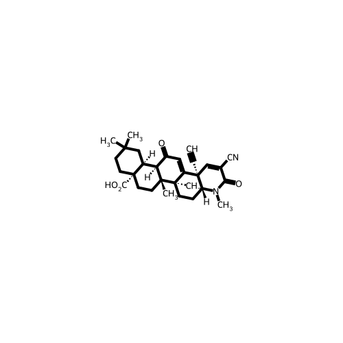 C#C[C@]12C=C(C#N)C(=O)N(C)[C@@H]1CC[C@]1(C)C2=CC(=O)[C@@H]2[C@@H]3CC(C)(C)CC[C@]3(C(=O)O)CC[C@]21C